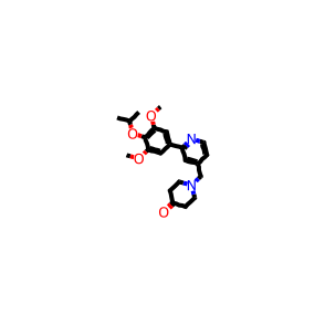 COc1cc(-c2cc(CN3CCC(=O)CC3)ccn2)cc(OC)c1OC(C)C